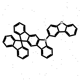 c1ccc2c(c1)-c1ccccc1C21c2ccccc2-c2cc3c(cc21)c1ccccc1n3-c1ccc2oc3ccccc3c2c1